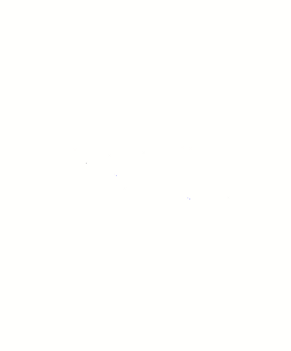 Cc1nc2sc(C(=O)NCC3(C)CCC3)c(Cl)c2c(C)c1Cl